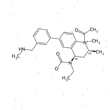 CCN(C(=O)[O-])[C@@H]1C[C@H](C)[N+](C)(C(C)=O)c2ccc(-c3cccc(CNC)c3)cc21